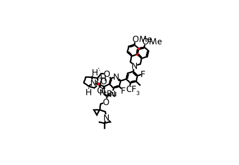 COc1ccc(CN(Cc2ccc(OC)cc2)c2cc(-c3nc4c5c(nc(OCC6(CN7CC7(C)C)CC6)nc5c3F)N3C[C@H]5CC[C@@H]([C@H]3[C@H](C)O4)N5C(=O)OC(C)(C)C)c(C(F)(F)F)c(C)c2F)cc1